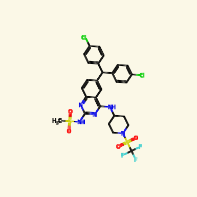 CS(=O)(=O)Nc1nc(NC2CCN(S(=O)(=O)C(F)(F)F)CC2)c2cc(C(c3ccc(Cl)cc3)c3ccc(Cl)cc3)ccc2n1